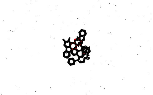 Cc1cc2c(c(-c3cnnnc3-c3cccc(-c4c(-c5ccccc5)ccc5sc6ccccc6c45)c3-c3nnncc3-c3c(C)c(C)cc4c3Cc3ccccc3-4)c1C)Cc1ccccc1-2